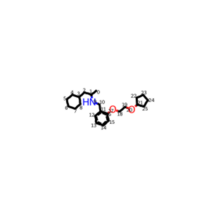 CC(CC1CCCCC1)NCc1ccccc1OCCOC1CCCC1